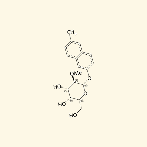 CO[C@H]1[C@H](Oc2ccc3cc(C)ccc3c2)O[C@H](CO)[C@H](O)[C@@H]1O